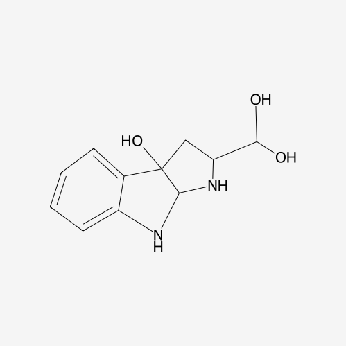 OC(O)C1CC2(O)c3ccccc3NC2N1